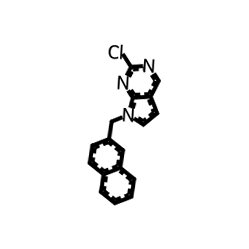 Clc1ncc2ccn(Cc3ccc4ccccc4c3)c2n1